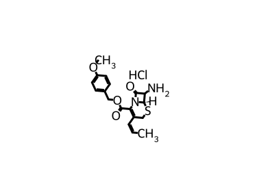 C/C=C\C1=C(C(=O)OCc2ccc(OC)cc2)N2C(=O)C(N)[C@H]2SC1.Cl